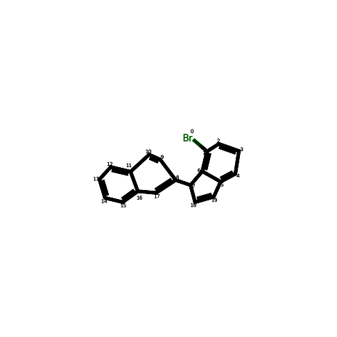 Brc1cccc2c1C(c1ccc3ccccc3c1)C=C2